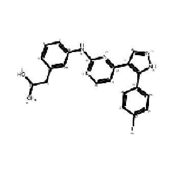 CC(O)Cc1cccc(Nc2nccc(-c3cn[nH]c3-c3ccc(F)cc3)n2)c1